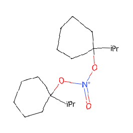 CC(C)C1(O[N+](=O)OC2(C(C)C)CCCCC2)CCCCC1